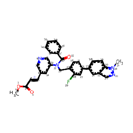 COC(=O)/C=C/c1cncc(N(Cc2ccc(-c3ccc4c(cnn4C)c3)cc2F)C(=O)c2ccccc2)c1